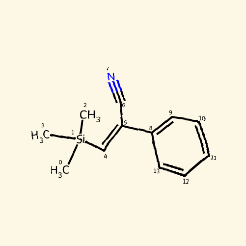 C[Si](C)(C)C=C(C#N)c1ccccc1